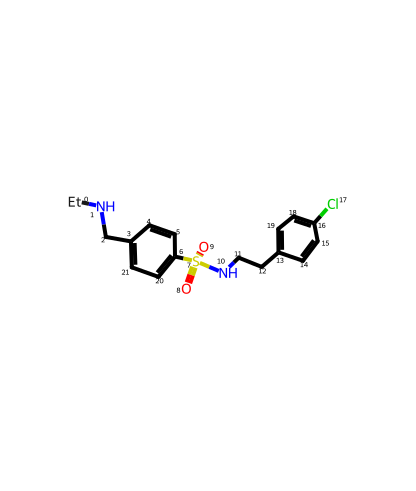 CCNCc1ccc(S(=O)(=O)NCCc2ccc(Cl)cc2)cc1